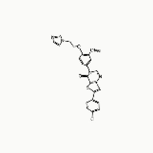 COc1cc(-n2cnc3cc(-c4ccc(Cl)cc4)sc3c2=O)ccc1OCCn1ccnc1